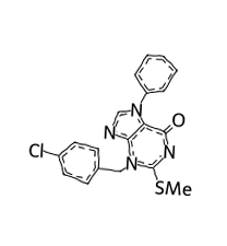 CSc1nc(=O)c2c(ncn2-c2ccccc2)n1Cc1ccc(Cl)cc1